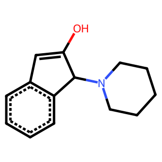 OC1=Cc2ccccc2C1N1CCCCC1